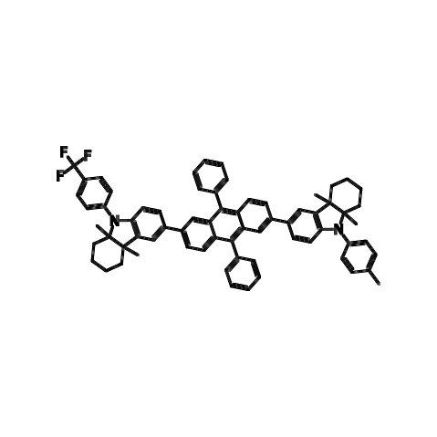 Cc1ccc(N2c3ccc(-c4ccc5c(-c6ccccc6)c6cc(-c7ccc8c(c7)C7(C)CCCCC7(C)N8c7ccc(C(F)(F)F)cc7)ccc6c(-c6ccccc6)c5c4)cc3C3(C)CCCCC23C)cc1